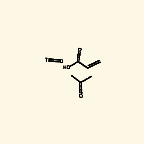 C=CC(=O)O.CC(C)=O.[O]=[Ti]